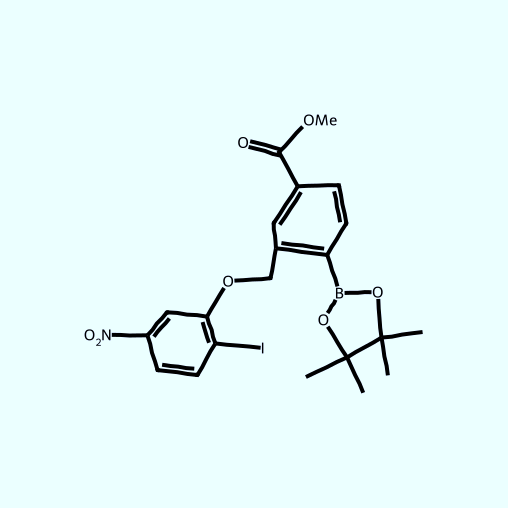 COC(=O)c1ccc(B2OC(C)(C)C(C)(C)O2)c(COc2cc([N+](=O)[O-])ccc2I)c1